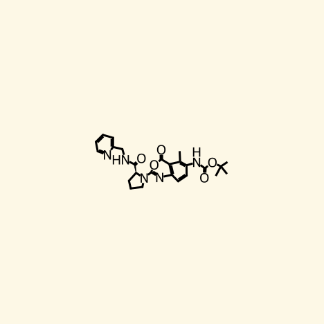 Cc1c(NC(=O)OC(C)(C)C)ccc2nc(N3CCC[C@H]3C(=O)NCc3ccccn3)oc(=O)c12